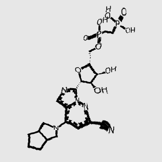 N#Cc1cc(N2CC3CCCC3C2)c2cnc([C@@H]3O[C@H](COP(=O)(O)CP(=O)(O)O)[C@@H](O)[C@H]3O)n2n1